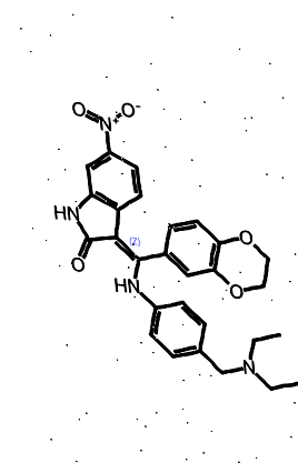 CCN(CC)Cc1ccc(N/C(=C2\C(=O)Nc3cc([N+](=O)[O-])ccc32)c2ccc3c(c2)OCCO3)cc1